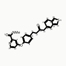 CNC(=O)c1cc(Oc2ccc(CCC(=O)Cc3ccc4cscc4c3)cc2)ccn1